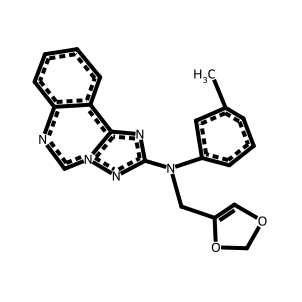 Cc1cccc(N(CC2=COCO2)c2nc3c4ccccc4ncn3n2)c1